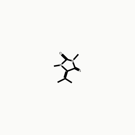 CC(C)=C1C(=S)N(C)C(=O)N1C